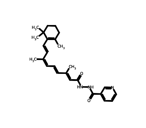 CC1=C(/C=C/C(C)=C\C=C\C(C)=C\C(=O)NNC(=O)c2cccnc2)C(C)(C)CCC1